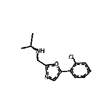 CC(C)NCc1ncc(-c2ccccc2Cl)o1